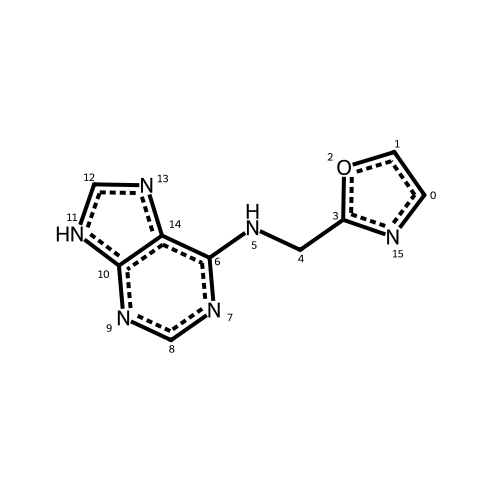 c1coc(CNc2ncnc3[nH]cnc23)n1